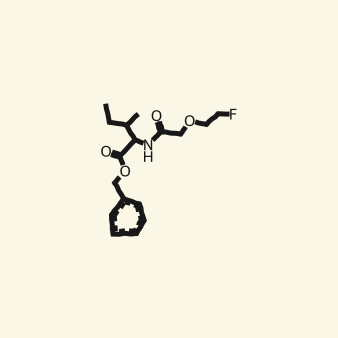 CCC(C)C(NC(=O)COCCF)C(=O)OCc1ccccc1